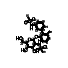 Cc1cccc(O[C@@H]2OC(CO)[C@H](O)[C@H](O)C2NS(C)(=O)=O)c1-c1cccc(NS(C)(=O)=O)c1